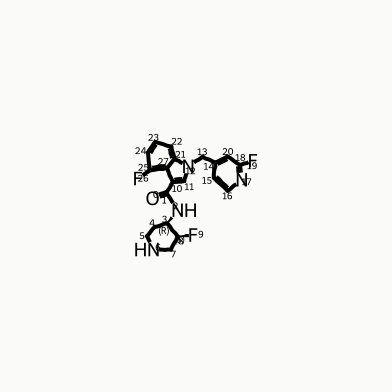 O=C(N[C@@H]1CCNC[C@@H]1F)c1cn(Cc2ccnc(F)c2)c2cccc(F)c12